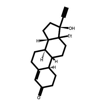 C#C[C@@]1(O)CC[C@H]2[C@@H]3CCC4=CC(=O)CC[C@@H]4[C@H]3CCC21CC